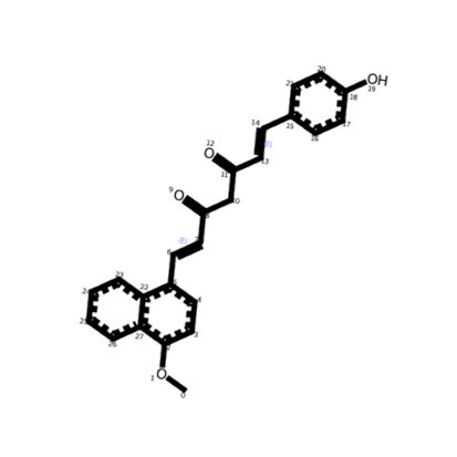 COc1ccc(/C=C/C(=O)CC(=O)/C=C/c2ccc(O)cc2)c2ccccc12